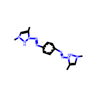 CC1=CN(C)NN1N=Nc1ccc(N=NN2NN(C)C=C2C)cc1